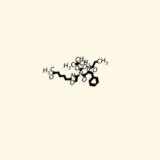 CCc1nc(C(=O)N(C(=O)OC(C)(C)C)c2coc(CCCCC(C)=O)n2)c(-c2ccccc2)o1